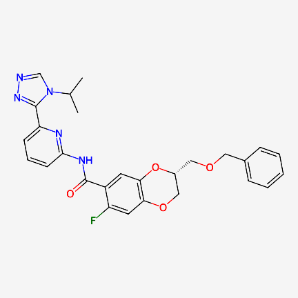 CC(C)n1cnnc1-c1cccc(NC(=O)c2cc3c(cc2F)OC[C@@H](COCc2ccccc2)O3)n1